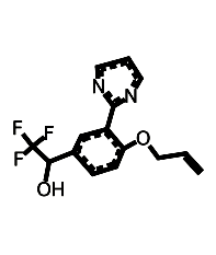 C=CCOc1ccc(C(O)C(F)(F)F)cc1-c1ncccn1